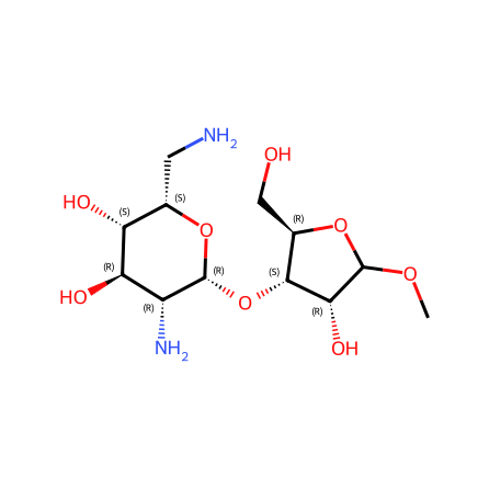 COC1O[C@H](CO)[C@@H](O[C@H]2O[C@@H](CN)[C@@H](O)[C@H](O)[C@H]2N)[C@H]1O